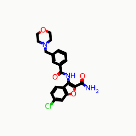 NC(=O)c1oc2cc(Cl)ccc2c1NC(=O)c1cccc(CN2CCOCC2)c1